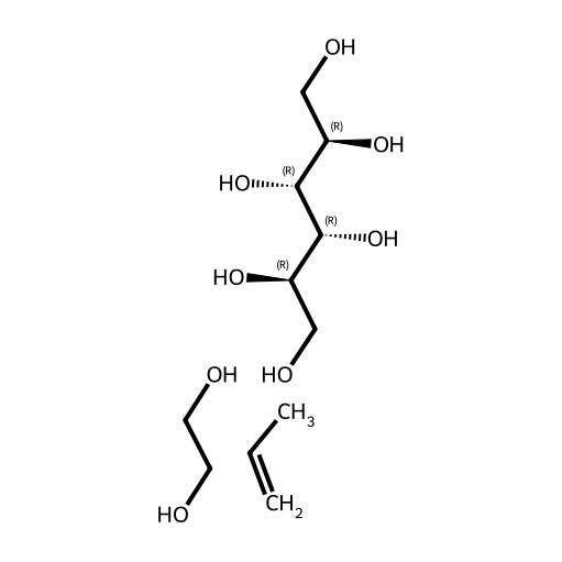 C=CC.OCCO.OC[C@@H](O)[C@@H](O)[C@H](O)[C@H](O)CO